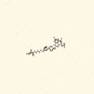 CC(=O)OC[C@H]1O[C@H](Oc2ccc(-c3cn(CCCCCCC(=O)NO)nn3)cc2)C[C@@H](OC(C)=O)[C@@H]1OC(C)=O